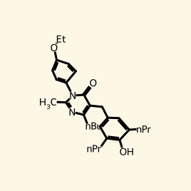 CCCCc1nc(C)n(-c2ccc(OCC)cc2)c(=O)c1Cc1cc(CCC)c(O)c(CCC)c1